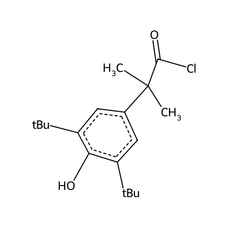 CC(C)(C)c1cc(C(C)(C)C(=O)Cl)cc(C(C)(C)C)c1O